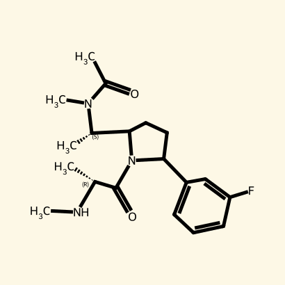 CN[C@H](C)C(=O)N1C(c2cccc(F)c2)CCC1[C@H](C)N(C)C(C)=O